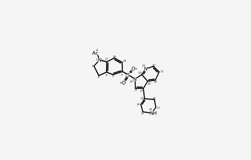 CC(=O)N1CCc2cc(S(=O)(=O)n3cc(C4=CCNCC4)c4cccnc43)ccc21